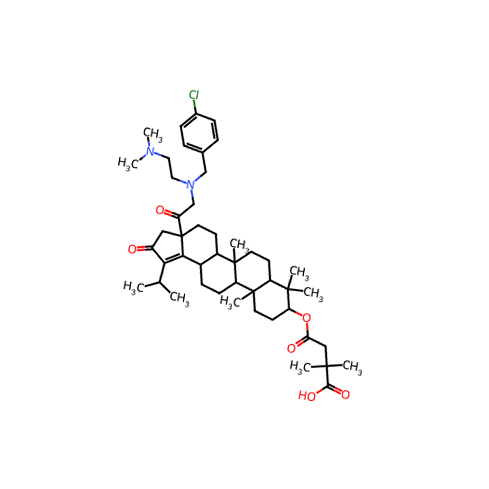 CC(C)C1=C2C3CCC4C(C)(CCC5C(C)(C)C(OC(=O)CC(C)(C)C(=O)O)CCC54C)C3CCC2(C(=O)CN(CCN(C)C)Cc2ccc(Cl)cc2)CC1=O